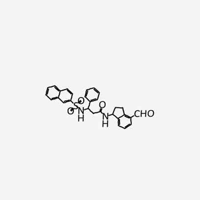 O=Cc1cccc2c1CCC2NC(=O)CC(NS(=O)(=O)c1ccc2ccccc2c1)c1ccccc1